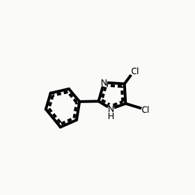 Clc1nc(-c2ccccc2)[nH]c1Cl